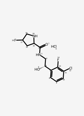 Cl.O=C(NC[C@@H](O)c1cccc(Cl)c1F)C1CC(F)CN1